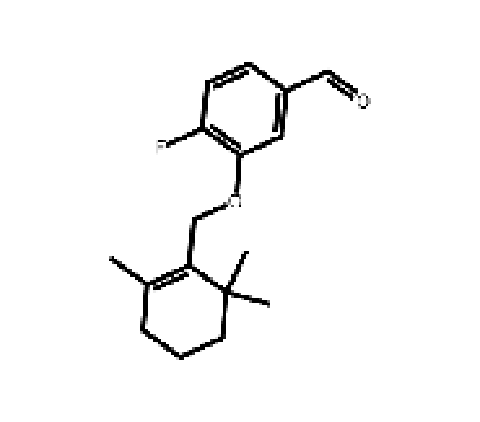 CC1=C(COc2cc(C=O)ccc2F)C(C)(C)CCC1